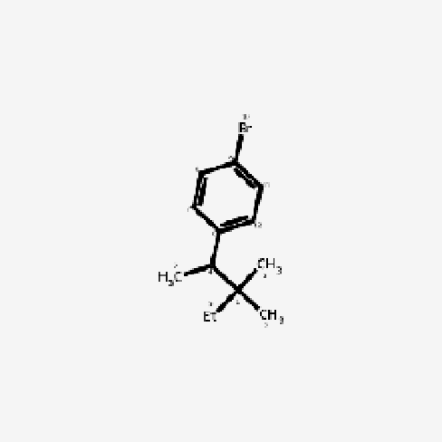 CCC(C)(C)C(C)c1ccc(Br)cc1